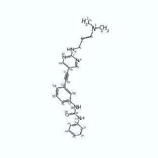 CN(C)CCCNc1ncc(C#Cc2cccc(NC(=O)Nc3ccccc3)c2)cn1